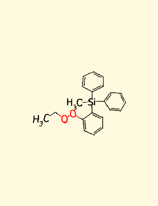 CCOOc1ccccc1[Si](C)(c1ccccc1)c1ccccc1